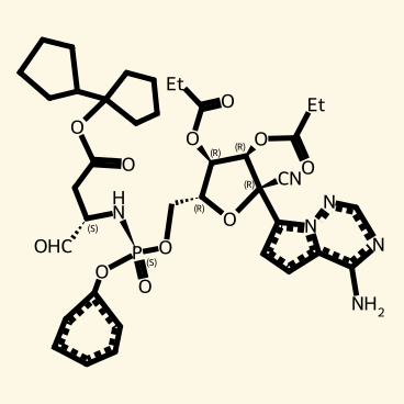 CCC(=O)O[C@H]1[C@@H](OC(=O)CC)[C@](C#N)(c2ccc3c(N)ncnn23)O[C@@H]1CO[P@@](=O)(N[C@H](C=O)CC(=O)OC1(C2CCCC2)CCCC1)Oc1ccccc1